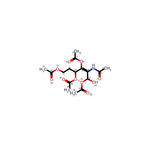 CC(=O)N/C(=C(\OC(C)=O)C(CCOC(C)=O)OC(C)=O)C(O)OC(C)=O